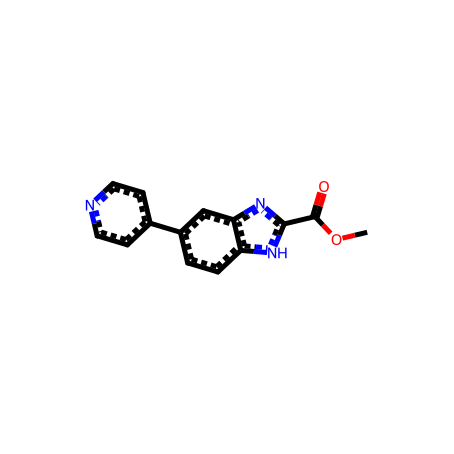 COC(=O)c1nc2cc(-c3ccncc3)ccc2[nH]1